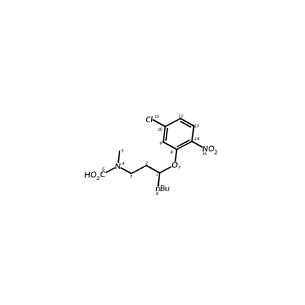 CCCCC(CCN(C)C(=O)O)Oc1cc(Cl)ccc1[N+](=O)[O-]